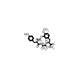 COc1ccc(CC(NC(=O)[C@@H](C)NC(=O)C(N)Cc2ccc(O)cc2)C(N)=O)cc1OC